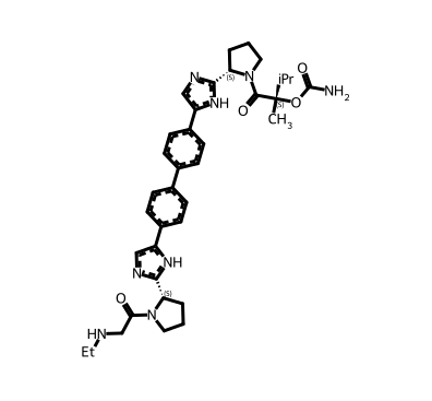 CCNCC(=O)N1CCC[C@H]1c1ncc(-c2ccc(-c3ccc(-c4cnc([C@@H]5CCCN5C(=O)[C@@](C)(OC(N)=O)C(C)C)[nH]4)cc3)cc2)[nH]1